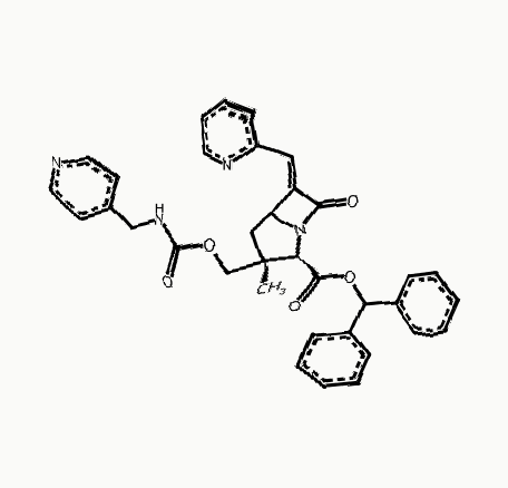 C[C@@]1(COC(=O)NCc2ccncc2)CC2/C(=C\c3ccccn3)C(=O)N2[C@H]1C(=O)OC(c1ccccc1)c1ccccc1